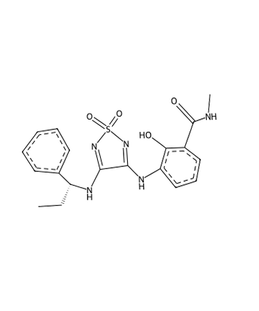 CC[C@@H](NC1=NS(=O)(=O)N=C1Nc1cccc(C(=O)NC)c1O)c1ccccc1